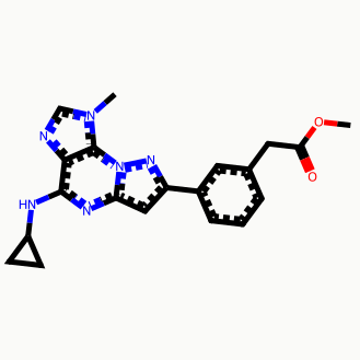 COC(=O)Cc1cccc(-c2cc3nc(NC4CC4)c4ncn(C)c4n3n2)c1